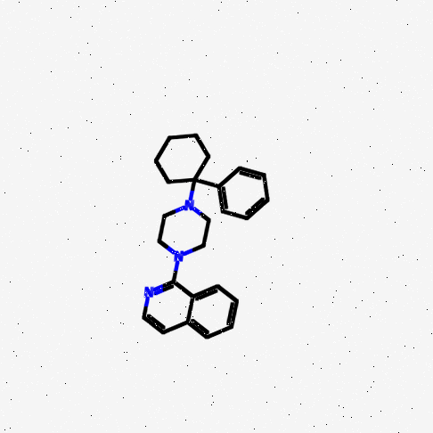 c1ccc(C2(N3CCN(c4nccc5ccccc45)CC3)CCCCC2)cc1